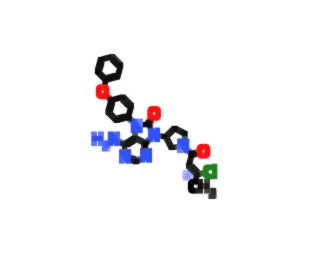 C/C(Cl)=C/C(=O)N1CCC(n2c(=O)n(-c3ccc(Oc4ccccc4)cc3)c3c(N)ncnc32)C1